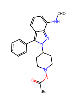 CC(C)(C)C(=O)ON1CCC(n2nc3c(NC=O)cccc3c2-c2ccccc2)CC1